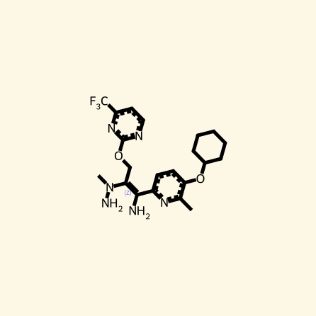 Cc1nc(/C(N)=C(\COc2nccc(C(F)(F)F)n2)N(C)N)ccc1OC1CCCCC1